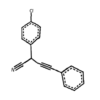 N#CC(C#Cc1ccccc1)c1ccc(Cl)cc1